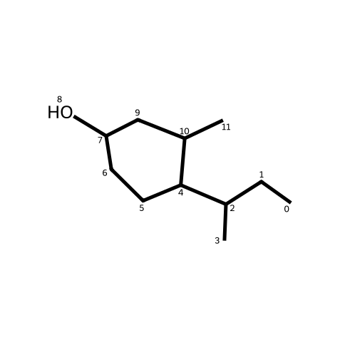 CCC(C)C1CCC(O)CC1C